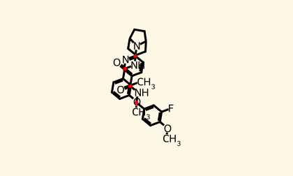 COc1ccc(CNC(=O)c2ccc(N3C4CCC3CC(NC(=O)c3cccc(OC)c3C)C4)nc2)cc1F